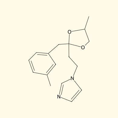 Cc1cccc(CC2(CCn3ccnc3)OCC(C)O2)c1